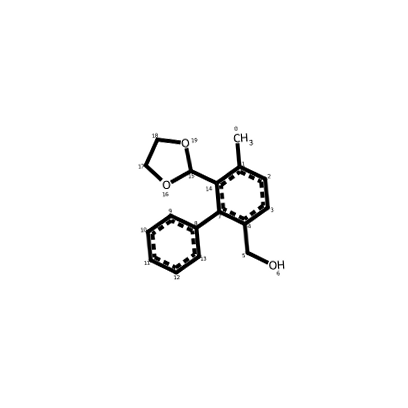 Cc1ccc(CO)c(-c2ccccc2)c1C1OCCO1